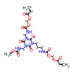 C=CC(=O)OCOC(=O)NCCCn1c(=O)n(CNC(=O)OC)c(=O)n(CNC(=O)OCOC(=O)C=C)c1=O